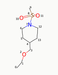 CCOCC1CCN(S(C)(=O)=O)CC1